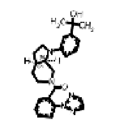 CC(C)(O)c1cccc(N2CC[C@@H]3CCN(C(=O)c4ccccc4-n4nccn4)C[C@@H]32)c1